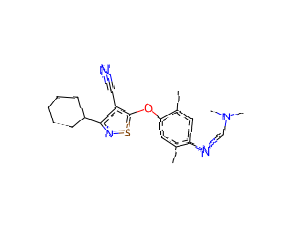 Cc1cc(Oc2snc(C3CCCCC3)c2C#N)c(C)cc1/N=C\N(C)C